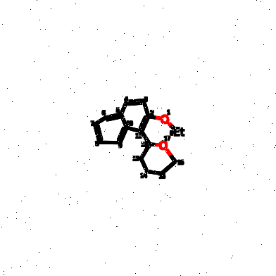 CCOc1ccc2ccccc2c1[C]1CCCCO1